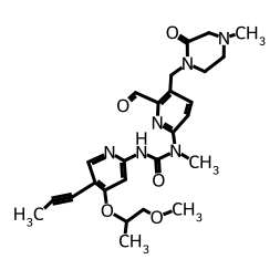 CC#Cc1cnc(NC(=O)N(C)c2ccc(CN3CCN(C)CC3=O)c(C=O)n2)cc1OC(C)COC